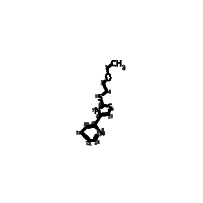 CCOCCSc1nc(-c2ccccn2)cs1